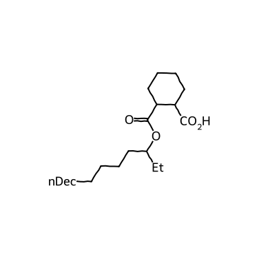 CCCCCCCCCCCCCCC(CC)OC(=O)C1CCCCC1C(=O)O